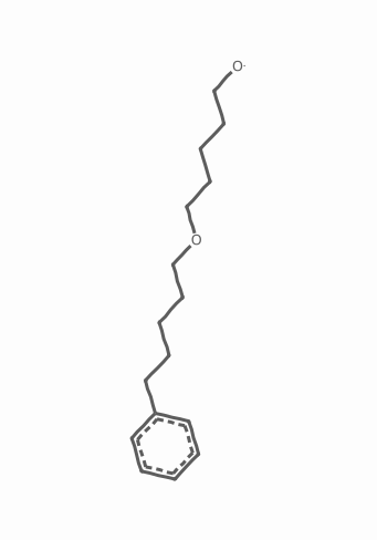 [O]CCCCCOCCCCCc1ccccc1